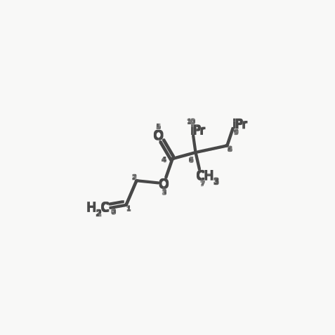 C=CCOC(=O)C(C)(CC(C)C)C(C)C